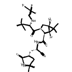 CC1(C)C[C@@H](C[C@@H](C#N)NC(=O)[C@@H]2[C@@H]3[C@H](CN2C(=O)[C@@H](NCC(F)(F)F)C(C)(C)C)C3(C)C)C(=O)N1